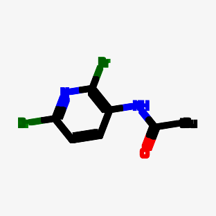 CC(C)(C)C(=O)Nc1ccc(Br)nc1Br